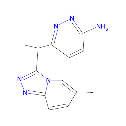 Cc1ccc2nnc(C(C)c3ccc(N)nn3)n2c1